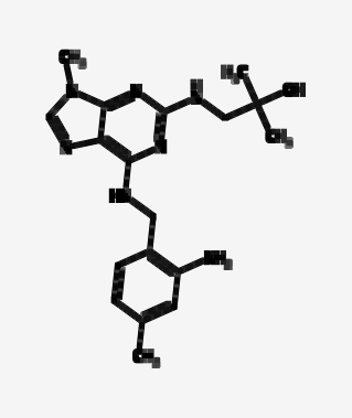 Cc1ccc(CNc2nc(NCC(C)(C)O)nc3c2ncn3C)c(N)c1